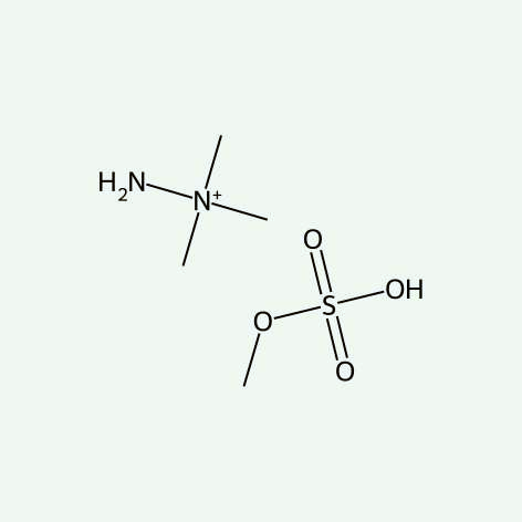 COS(=O)(=O)O.C[N+](C)(C)N